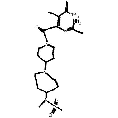 C=C(N)/C(C)=C(\N=C(\C)N)C(=O)N1CCC(N2CCC(N(C)S(C)(=O)=O)CC2)CC1